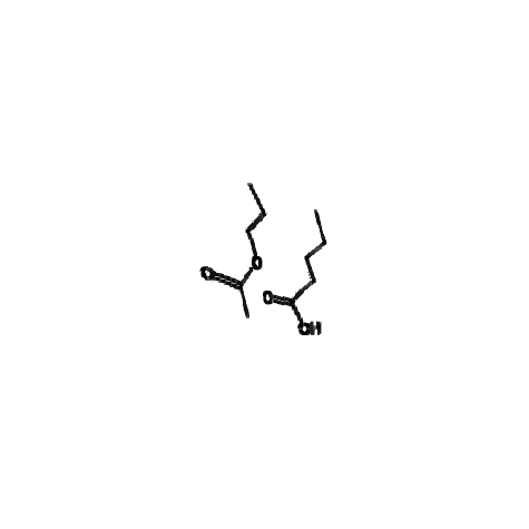 CCCCC(=O)O.CCCOC(C)=O